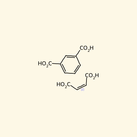 O=C(O)/C=C\C(=O)O.O=C(O)c1cccc(C(=O)O)c1